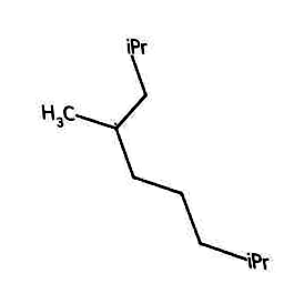 C[C](CCCC(C)C)CC(C)C